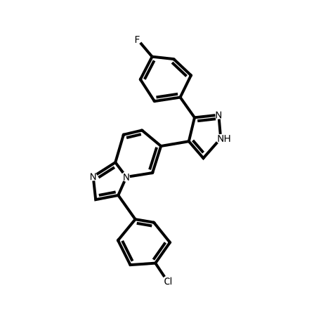 Fc1ccc(-c2n[nH]cc2-c2ccc3ncc(-c4ccc(Cl)cc4)n3c2)cc1